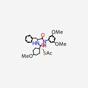 COc1cc(NC(=O)[C@H](Cc2ccccc2)NC(=O)[C@]2(CSC(C)=O)CC[C@H](OC)CC2)cc(OC)c1